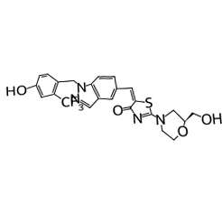 O=C1N=C(N2CCO[C@H](CO)C2)SC1=Cc1ccc2c(cnn2Cc2ccc(O)cc2C(F)(F)F)c1